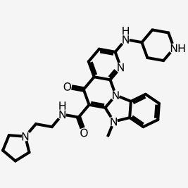 Cn1c2ccccc2n2c3nc(NC4CCNCC4)ccc3c(=O)c(C(=O)NCCN3CCCC3)c12